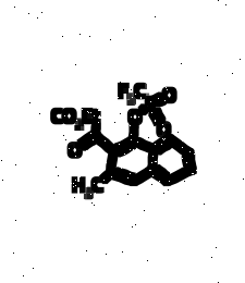 CCOC(=O)C(=O)c1c(C)cc2ccccc2c1OS(=O)(=O)C(F)(F)F